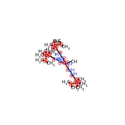 C#CCCC(=O)NC(COCCC(=O)NCCCNC(=O)CCCCO[C@H]1O[C@H](CCP(=O)(OCC)OCC)[C@@H](OC(C)=O)[C@H](OC(C)=O)[C@@H]1OC(C)=O)(COCCC(=O)NCCCNC(=O)CCCCO[C@H]1O[C@H](CCP(=O)(OCC)OCC)[C@@H](OC(C)=O)[C@H](OC(C)=O)[C@@H]1OC(C)=O)COCCC(=O)NCCCNC(=O)CCCCO[C@H]1O[C@H](CCP(=O)(OCC)OCC)[C@@H](OC(C)=O)[C@H](OC(C)=O)[C@@H]1OC(C)=O